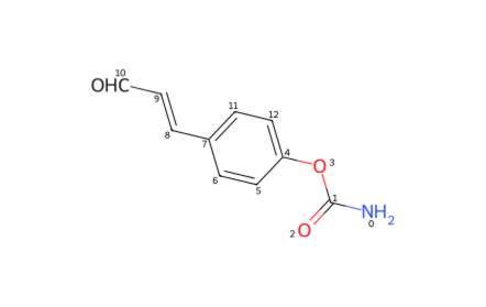 NC(=O)Oc1ccc(C=CC=O)cc1